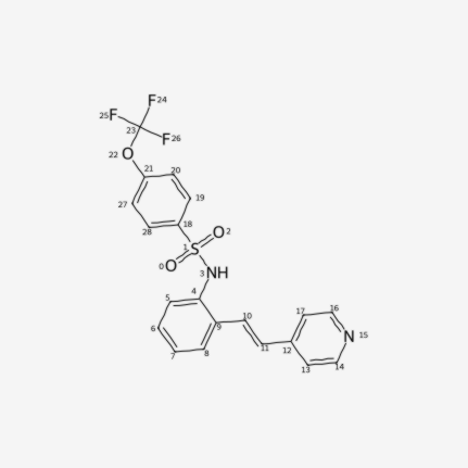 O=S(=O)(Nc1ccccc1/C=C/c1ccncc1)c1ccc(OC(F)(F)F)cc1